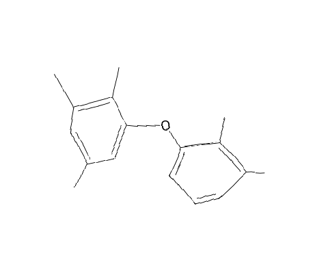 Cc1cc(C)c(C)c(Oc2cccc(C)c2C)c1